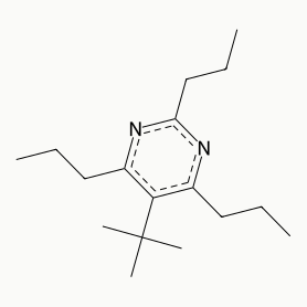 CCCc1nc(CCC)c(C(C)(C)C)c(CCC)n1